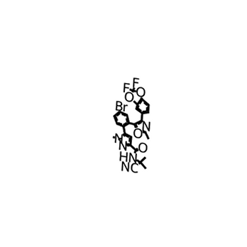 Cc1nc(-c2ccc3c(c2)OC(F)(F)O3)c(-c2cc(Br)ccc2-c2cc(C(=O)NC(C)(C)C#N)nn2C)o1